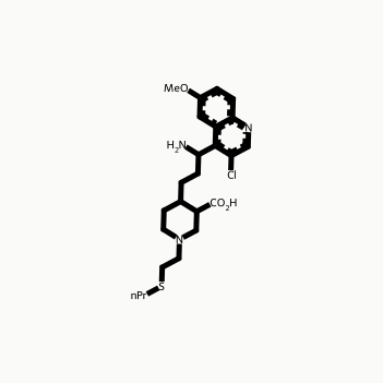 CCCSCCN1CCC(CCC(N)c2c(Cl)cnc3ccc(OC)cc23)C(C(=O)O)C1